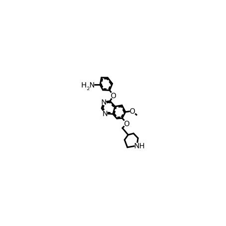 COc1cc2c(Oc3cccc(N)c3)ncnc2cc1OCC1CCNCC1